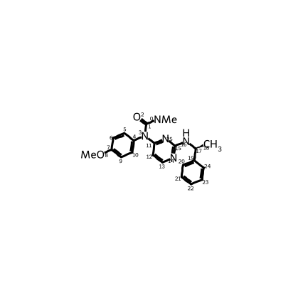 CNC(=O)N(c1ccc(OC)cc1)c1ccnc(N[C@@H](C)c2ccccc2)n1